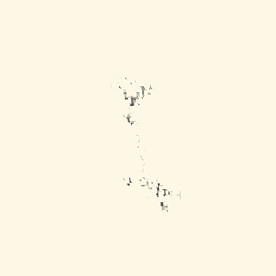 C=CC(=O)N1CCN(c2nc(OC[C@@H]3C[C@@H](OCCOCCOCCOCCOc4cc(-c5scnc5C)ccc4CNC(=O)[C@@H]4C[C@@H](O)CN4C(=O)C(c4cc(C)no4)C(C)C)CN3C)nc3c2CCN(c2cccc4ccccc24)C3)C[C@@H]1CC#N